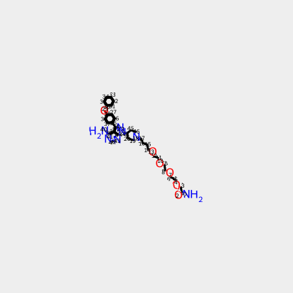 NC(=O)COCCOCCOCCOCCCCN1CCC(n2nc(-c3ccc(Oc4ccccc4)cc3)c3c(N)ncnc32)CC1